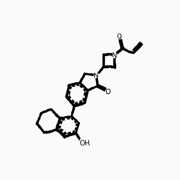 C=CC(=O)N1CC(N2Cc3ccc(-c4cc(O)cc5c4CCCC5)cc3C2=O)C1